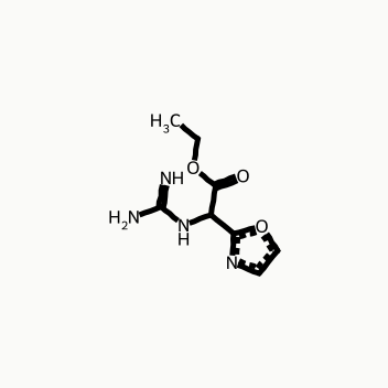 CCOC(=O)C(NC(=N)N)c1ncco1